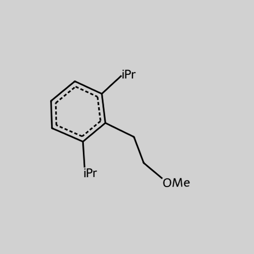 COCCc1c(C(C)C)cccc1C(C)C